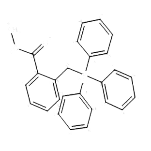 COC(=O)c1ccccc1C[PH](c1ccccc1)(c1ccccc1)c1ccccc1